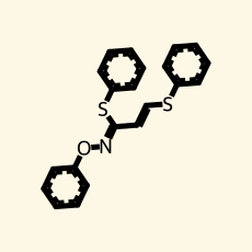 C(=CC(=NOc1ccccc1)Sc1ccccc1)Sc1ccccc1